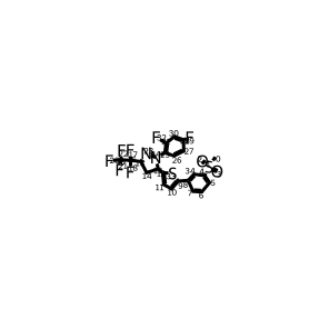 CS(=O)(=O)c1cccc(-c2ccc(C3CC(C(F)(F)C(F)(F)F)=NN3c3ccc(F)cc3F)s2)c1